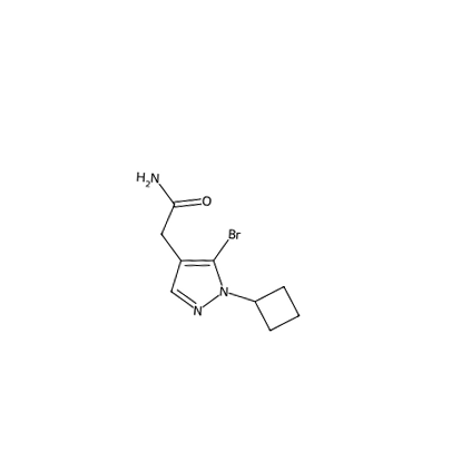 NC(=O)Cc1cnn(C2CCC2)c1Br